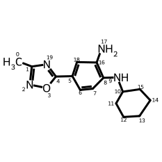 Cc1noc(-c2ccc(NC3CCCCC3)c(N)c2)n1